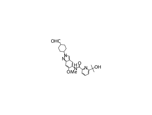 COc1cc2nn(C3CCC(C=O)CC3)cc2cc1NC(=O)c1cccc(C(C)(C)O)n1